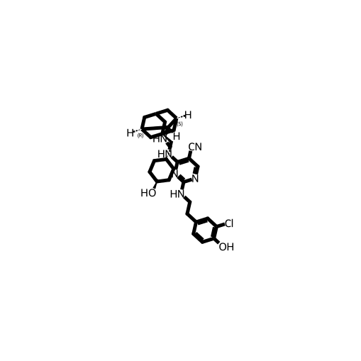 N#Cc1cnc(NCCc2ccc(O)c(Cl)c2)nc1NC[C@]12CC3C[C@H](C1)[C@@H](NC[C@H]1CC[C@H](O)CC1)[C@@H](C3)C2